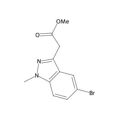 COC(=O)Cc1nn(C)c2ccc(Br)cc12